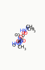 CCCN(C(=O)NCc1ccccc1)N1CC(=O)N2[C@@H](Cc3ccc(OC(=O)NCCN(C)C)cc3)C(=O)N(Cc3cccc4ccccc34)C[C@@H]21